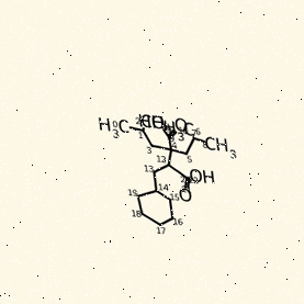 CC(C)CC(CC(C)C)(C(=O)O)C(CC1CCCCC1)C(=O)O